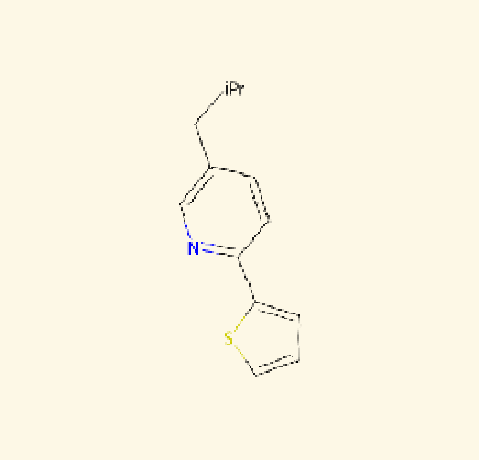 CC(C)Cc1ccc(-c2cccs2)nc1